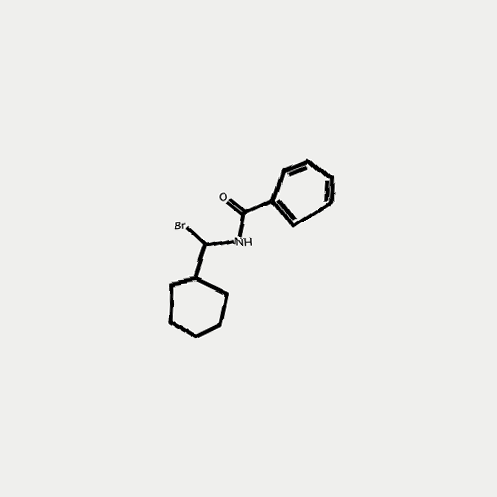 O=C(NC(Br)C1CCCCC1)c1ccccc1